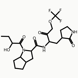 CCC(O)C(=O)N1C(C(=O)NC(CC2CCNC2=O)C(=O)COC(F)(F)F)CC2CCCC21